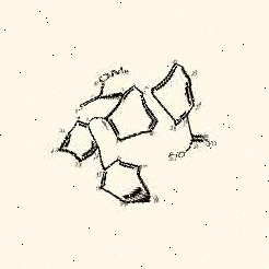 COC(=S)c1ccccc1-c1ccccc1-c1ccccc1.OC(=S)c1ccccc1